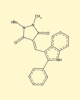 CCCCN1C(=O)/C(=C/c2c(-c3ccccc3)[nH]c3ccccc23)C(=O)N1C